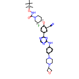 CC(C)(C)[Si](C)(C)ONC(=O)N1CC[C@H](Oc2ccc(-c3ncnc(Nc4ccc(N5CCN(C6COC6)CC5)cc4)n3)cc2C#N)[C@H](F)C1